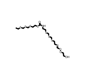 CCSCSCSCCSC(=O)NCCSCSCSCC/N=C/OOCCO